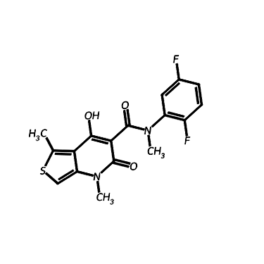 Cc1scc2c1c(O)c(C(=O)N(C)c1cc(F)ccc1F)c(=O)n2C